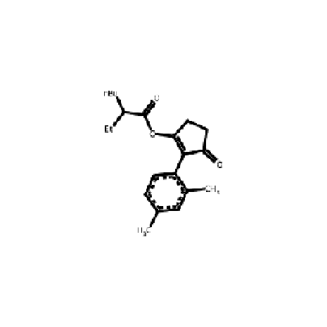 CCCCC(CC)C(=O)OC1=C(c2ccc(C)cc2C)C(=O)CC1